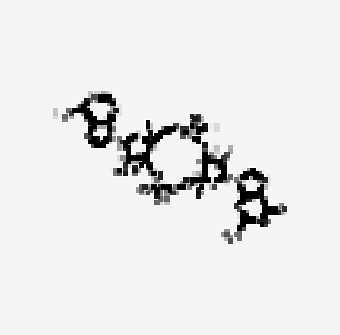 Nc1nc2c(ncn2[C@@H]2O[C@@H]3CO[PH](O)(S)O[C@H]4[C@@H](O)[C@H](n5cnc6c(N)ncnc65)O[C@@H]4CO[PH](O)(S)O[C@H]3[C@H]2F)c(=O)[nH]1